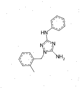 Cc1ccccc1Cn1nc(Nc2ccccc2)nc1N